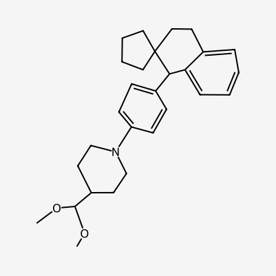 COC(OC)C1CCN(c2ccc(C3c4ccccc4CCC34CCCC4)cc2)CC1